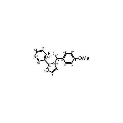 COc1ccc(C(N2C=COC2c2cccnc2)C(F)(F)F)cc1